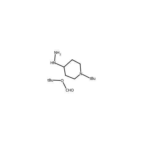 CC(C)(C)N1CCC(NN)CC1.CC(C)(C)OC=O